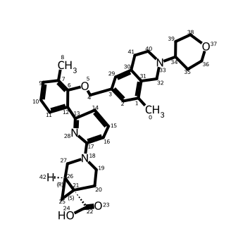 Cc1cc(COc2c(C)cccc2-c2cccc(N3CC[C@@]4(C(=O)O)C[C@H]4C3)n2)cc2c1CN(C1CCOCC1)CC2